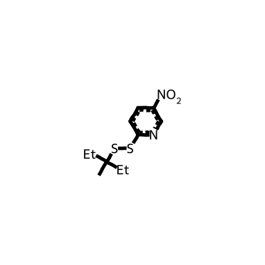 CCC(C)(CC)SSc1ccc([N+](=O)[O-])cn1